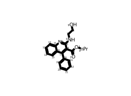 CCCOC(=O)c1c(NCCO)nc2ccccc2c1-c1ccccc1